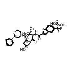 CC(C)(C)C(NC(=O)c1cc2cc(C(F)(F)P(=O)(O)O)ccc2s1)C(=O)N1C[C@@H](O)C[C@H]1C(=O)N1CCO[C@H](c2ccccc2)C1